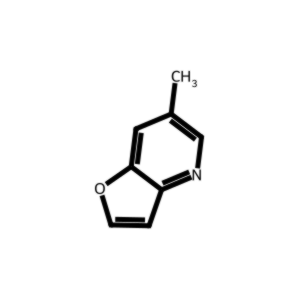 Cc1cnc2ccoc2c1